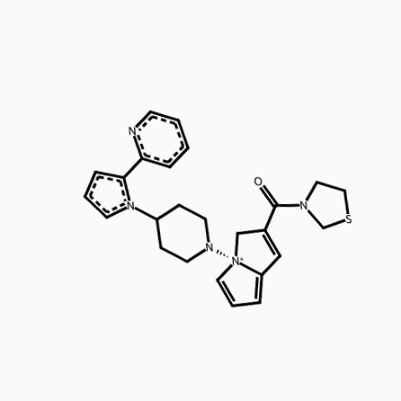 O=C(C1=CC2=CC=C[N@@+]2(N2CCC(n3cccc3-c3ccccn3)CC2)C1)N1CCSC1